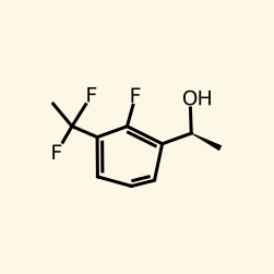 C[C@H](O)c1cccc(C(C)(F)F)c1F